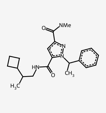 CNC(=O)c1cc(C(=O)NCC(C)C2CCC2)n(C(C)c2ccccc2)n1